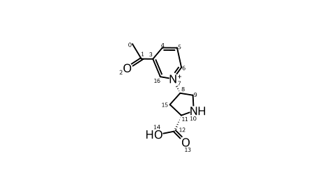 CC(=O)c1ccc[n+]([C@@H]2CN[C@H](C(=O)O)C2)c1